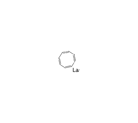 C1=CC=CC=CC=C1.[La]